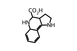 O=C(O)C1NC2C=CC=CC2=C2NCCC21